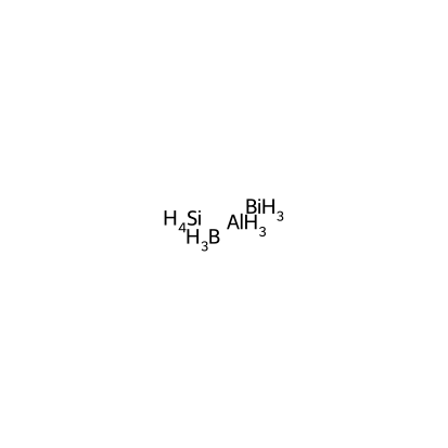 B.[AlH3].[BiH3].[SiH4]